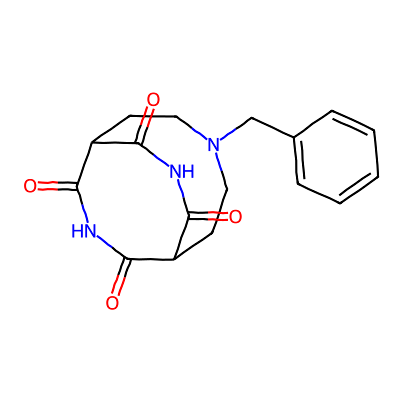 O=C1NC(=O)C2CCN(Cc3ccccc3)CCC1C(=O)NC2=O